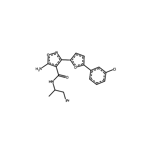 CC(C)CC(C)NC(=O)c1c(-c2ccc(-c3cccc(Cl)c3)o2)noc1N